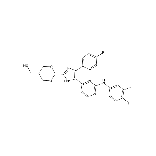 OCC1COC(c2nc(-c3ccc(F)cc3)c(-c3ccnc(Nc4ccc(F)c(F)c4)n3)[nH]2)OC1